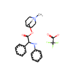 C[N+]12CCC(CC1)C(OC(=O)C(Nc1ccccc1)c1ccccc1)C2.O=C([O-])C(F)(F)F